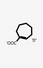 O=C([O-])C1=CCCCCC1.[Tl+]